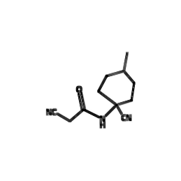 CC1CCC(C#N)(NC(=O)CC#N)CC1